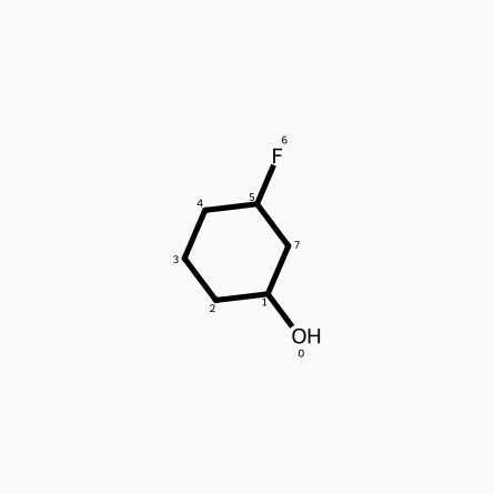 OC1CCCC(F)C1